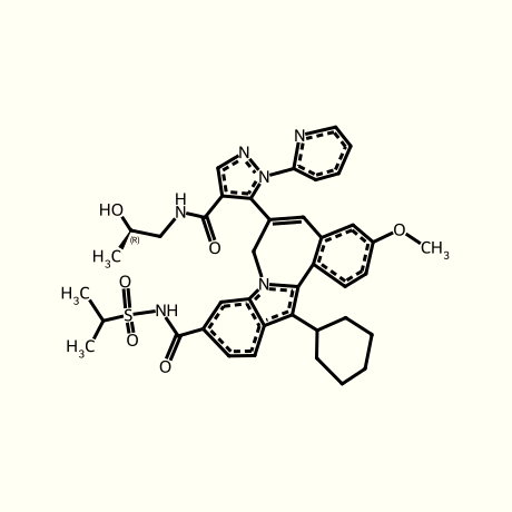 COc1ccc2c(c1)C=C(c1c(C(=O)NC[C@@H](C)O)cnn1-c1ccccn1)Cn1c-2c(C2CCCCC2)c2ccc(C(=O)NS(=O)(=O)C(C)C)cc21